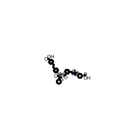 CS(=O)(=O)/C(=C\Cc1cccc(C(=O)Nc2sc3c(c2C(=O)Nc2ccc(CCc4ccc(C(=O)O)cc4)cc2)CCCC3)c1)C[C@H]1CC[C@H](C(=O)O)CC1